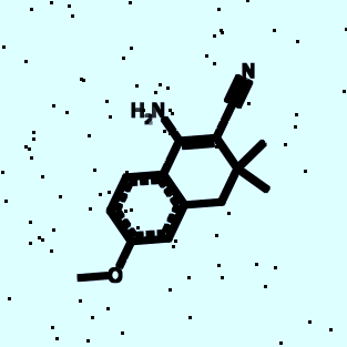 COc1ccc2c(c1)CC(C)(C)C(C#N)=C2N